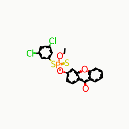 CCOP(=S)(Oc1ccc2c(=O)c3ccccc3oc2c1)Sc1cc(Cl)cc(Cl)c1